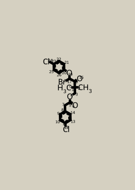 CC(C)(COC(=O)Cc1ccc(Cl)cc1)C(=O)C(Br)Oc1ccc(Cl)cc1